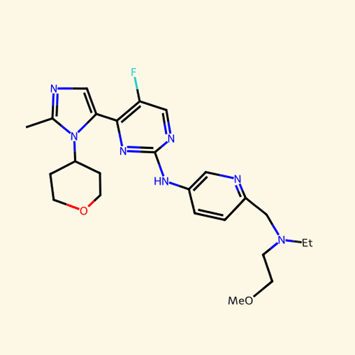 CCN(CCOC)Cc1ccc(Nc2ncc(F)c(-c3cnc(C)n3C3CCOCC3)n2)cn1